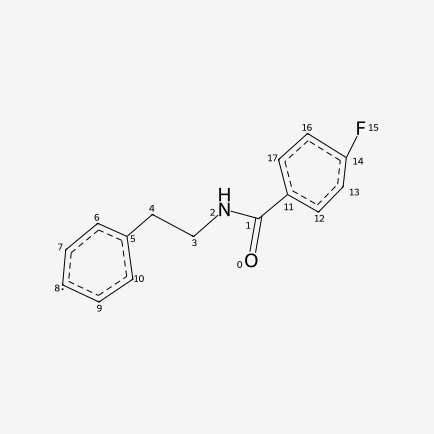 O=C(NCCc1cc[c]cc1)c1ccc(F)cc1